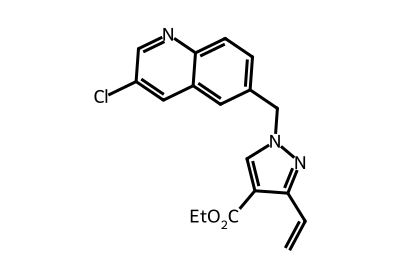 C=Cc1nn(Cc2ccc3ncc(Cl)cc3c2)cc1C(=O)OCC